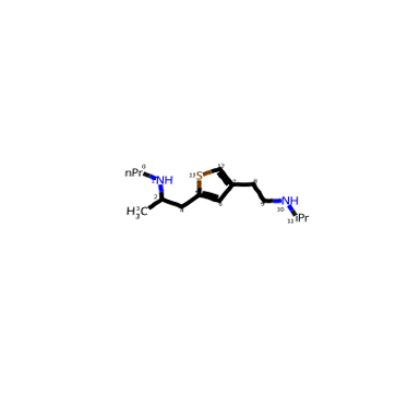 CCCNC(C)Cc1cc(CCNC(C)C)cs1